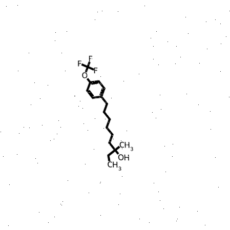 CCC(C)(O)CCCCCCc1ccc(OC(F)(F)F)cc1